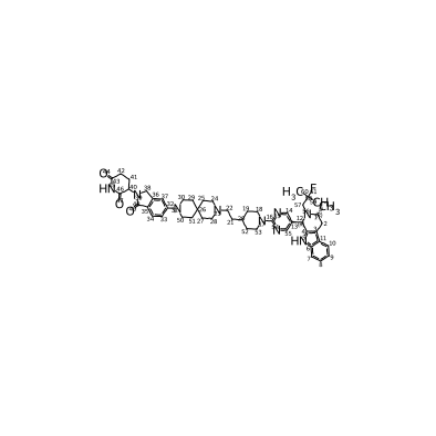 C[C@@H]1Cc2c([nH]c3ccccc23)[C@@H](c2cnc(N3CCC(CCN4CCC5(CC4)CCN(c4ccc6c(c4)CN(C4CCC(=O)NC4=O)C6=O)CC5)CC3)nc2)N1CC(C)(C)F